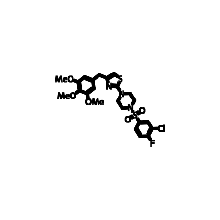 COc1cc(Cc2csc(N3CCN(S(=O)(=O)c4ccc(F)c(Cl)c4)CC3)n2)cc(OC)c1OC